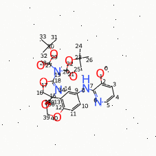 COc1cccnc1Nc1ccc2c(c1)C1(COC(N(C(=O)OC(C)(C)C)C(=O)OC(C)(C)C)=N1)C1(COC1)CO2